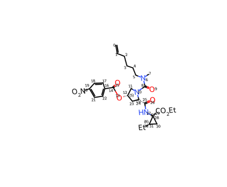 C=CCCCCN(C)C(=O)N1C[C@@H](OC(=O)c2ccc([N+](=O)[O-])cc2)C[C@H]1C(=O)N[C@]1(C(=O)OCC)C[C@H]1CC